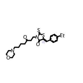 CCc1ccc(/C=C2\SC(=S)N(CCC(=O)CCCCN3CCOCC3)C2=O)cc1